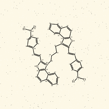 CCN(CC)c1ccc(/C=C/c2oc3ccc4ccccc4c3[n+]2CCCC[n+]2c(/C=C/c3ccc(N(CC)CC)cc3)oc3ccc4ccccc4c32)cc1